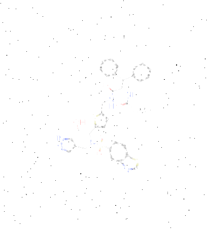 COC(=O)N[C@H](C(=O)NCc1ccc([C@@H](CO)N(Cc2cn[nH]c2)S(=O)(=O)c2ccc3scnc3c2)s1)C(c1ccccc1)c1ccccc1